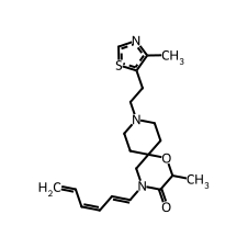 C=C/C=C\C=C\N1CC2(CCN(CCc3scnc3C)CC2)OC(C)C1=O